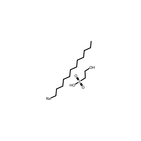 CCCCCCCCCCC[CH2][Na].O=S(=O)(O)CCO